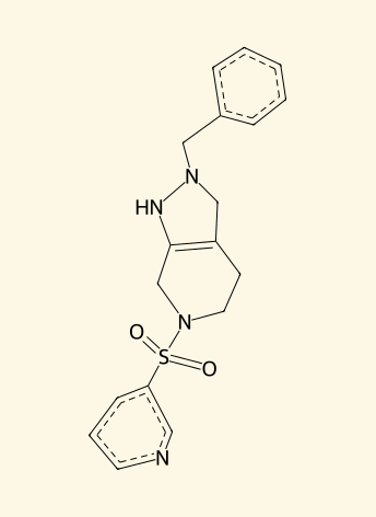 O=S(=O)(c1cccnc1)N1CCC2=C(C1)NN(Cc1ccccc1)C2